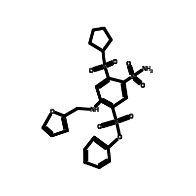 NS(=O)(=O)c1cc(S(=O)(=O)Oc2ccccc2)c(NCc2ccco2)cc1S(=O)(=O)C1CCCC1